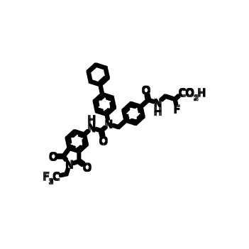 O=C(NCC(F)C(=O)O)c1ccc(CN(C(=O)Nc2ccc3c(c2)C(=O)N(CC(F)(F)F)C3=O)c2ccc(C3=CCCCC3)cc2)cc1